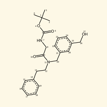 CC(C)(C)OC(=O)NCC(=O)N(CCc1ccccc1)Cc1cccc(CO)c1